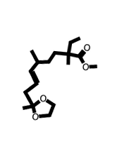 CCC(C)(CCC(C)/C=C/CC1(C)OCCO1)C(=O)OC